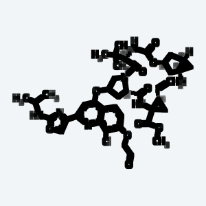 C=C[C@@H]1CC1(NC(=O)[C@@H]1CC(Oc2cc(-c3coc(NC(C)C)n3)nc3c(Cl)c(OCC=O)ccc23)CN1C(=O)[C@@H](NC(=O)O[C@@H]1C[C@@H]2C[C@@H]2C1)C(C)(C)C)C(=O)OC